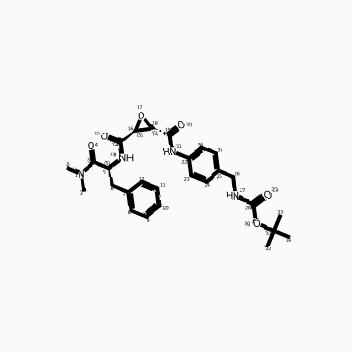 CN(C)C(=O)[C@H](Cc1ccccc1)NC(=O)[C@H]1O[C@@H]1C(=O)Nc1ccc(CNC(=O)OC(C)(C)C)cc1